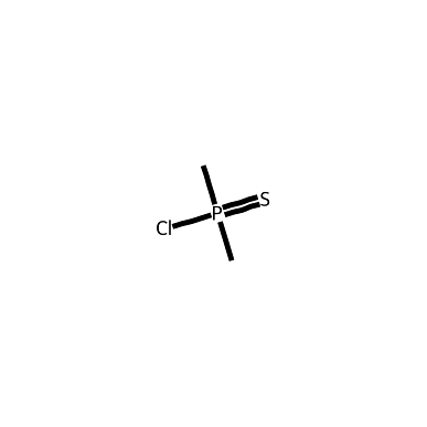 CP(C)(=S)Cl